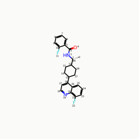 C[C@@H](NC(=O)c1ccccc1F)C1CCC(c2ccnc3c(F)cccc23)CC1